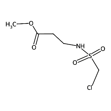 COC(=O)CCNS(=O)(=O)CCl